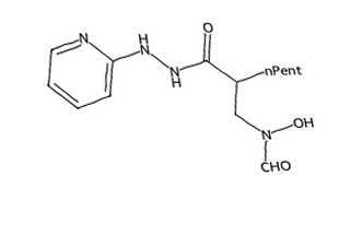 CCCCCC(CN(O)C=O)C(=O)NNc1ccccn1